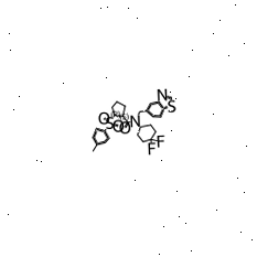 Cc1ccc(S(=O)(=O)[C@@H]2CCC[C@H]2C(=O)N(Cc2ccc3scnc3c2)C2CCC(F)(F)CC2)cc1